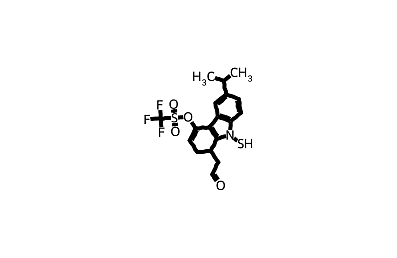 CC(C)c1ccc2c(c1)c1c(n2S)C(CC=O)CC=C1OS(=O)(=O)C(F)(F)F